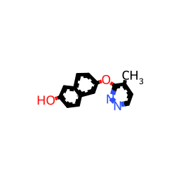 Cc1ccnnc1Oc1ccc2cc(O)ccc2c1